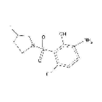 Nc1ccc(Cl)c(S(=O)(=O)N2CCC(F)C2)c1O